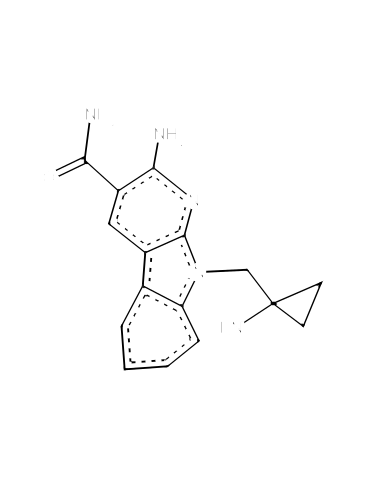 NC(=O)c1cc2c3ccccc3n(CC3(N)CC3)c2nc1N